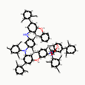 Cc1cc(C)c(N2c3cc4c(cc3B3c5cc6c(cc5Oc5cc(-c7c(C)cccc7C)cc2c53)N(c2c(C)cc(C)cc2C)c2cc(-c3c(C)cccc3C)cc3c2B6c2ccccc2O3)B2c3ccccc3Oc3cc(-c5c(C)cccc5C)cc(c32)N4)c(C)c1